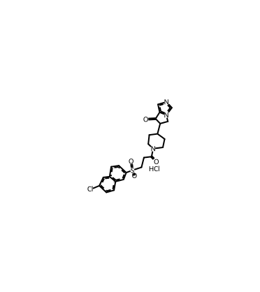 Cl.O=C1c2cncn2CC1C1CCN(C(=O)CCS(=O)(=O)c2ccc3cc(Cl)ccc3c2)CC1